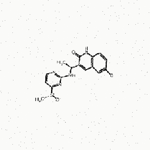 C[C@H](Nc1nccc([S@@+](C)[O-])n1)c1cc2cc(Cl)ccc2[nH]c1=O